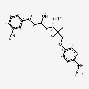 CC(C)(COc1ccc(NN)nn1)NCC(O)COc1cccc(C#N)c1.Cl